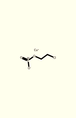 O=[PH]([O-])OCCCl.[Cu+]